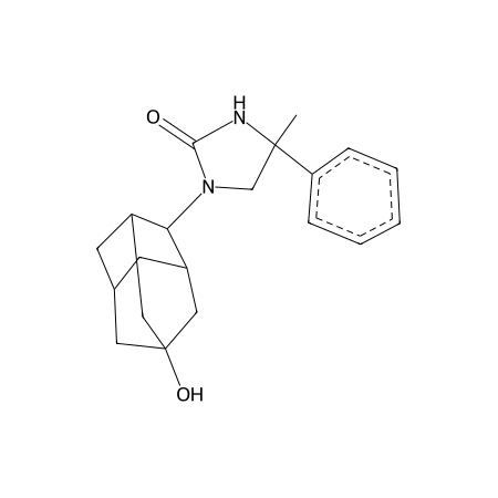 CC1(c2ccccc2)CN(C2C3CC4CC2CC(O)(C4)C3)C(=O)N1